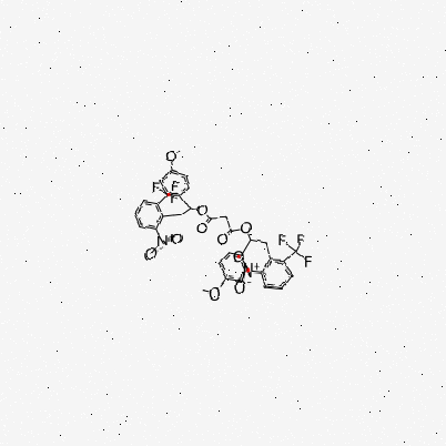 COc1ccc(C(Cc2c([N+](=O)[O-])cccc2C(F)(F)F)OC(=O)CC(=O)OC(Cc2c([N+](=O)[O-])cccc2C(F)(F)F)c2ccc(OC)cc2)cc1